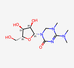 CN(C)C1=NC(=O)N([C@@H]2O[C@H](CO)[C@@H](O)[C@H]2O)CN1C